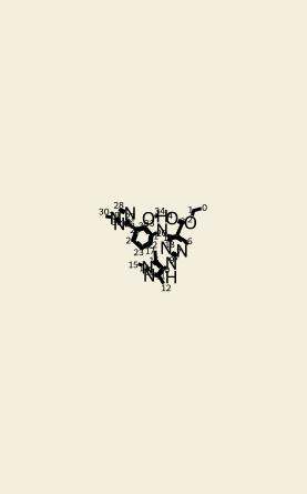 CCOC(=O)c1cnc(Nc2c(C)nn(C)c2C)nc1Nc1cccc(-c2ncn(C)n2)c1OC